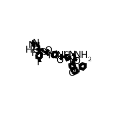 Nc1nc2sc(C(=O)NC3CCN(CC(=O)OCC(O)(Cn4cncn4)c4ccc(F)cc4F)CC3)cc2n(-c2ccc3c(c2)N(c2ccccc2)CCO3)c1=O